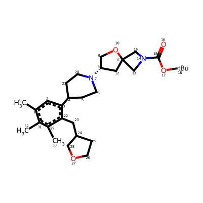 Cc1cc(C2CCN([C@@H]3COC4(C3)CN(C(=O)OC(C)(C)C)C4)CC2)c(CC2CCOC2)c(C)c1C